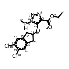 CCOC(=O)c1nnn(PC)c1OC1Cc2cc(Cl)c(Cl)cc2C1